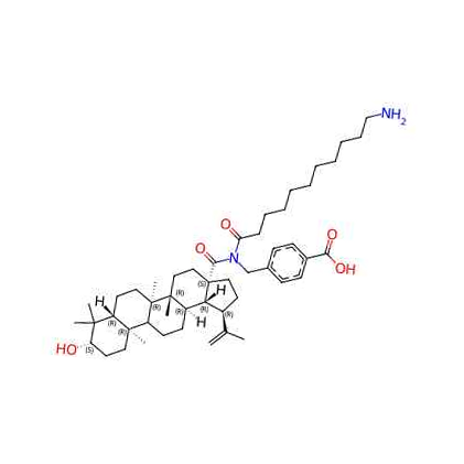 C=C(C)[C@@H]1CC[C@]2(C(=O)N(Cc3ccc(C(=O)O)cc3)C(=O)CCCCCCCCCCN)CC[C@]3(C)[C@H](CCC4[C@@]5(C)CC[C@H](O)C(C)(C)[C@@H]5CC[C@]43C)[C@@H]12